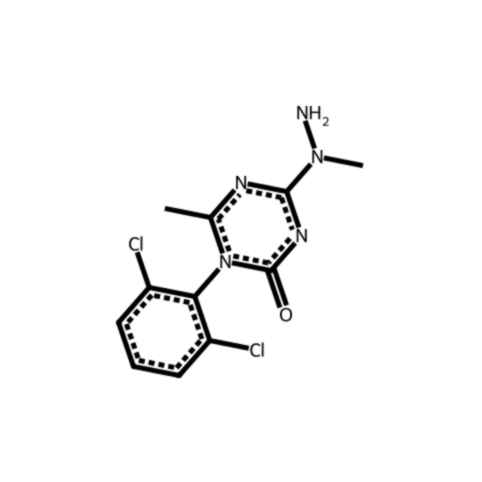 Cc1nc(N(C)N)nc(=O)n1-c1c(Cl)cccc1Cl